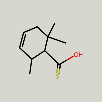 CC1C=CCC(C)(C)C1C(O)=S